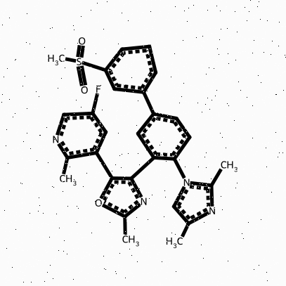 Cc1cn(-c2ccc(-c3cccc(S(C)(=O)=O)c3)cc2-c2nc(C)oc2-c2cc(F)cnc2C)c(C)n1